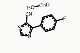 N#Cc1scnc1-c1ccc(F)cc1.O=CO